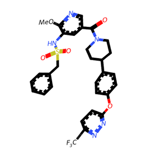 COc1ncc(C(=O)N2CCC(c3ccc(Oc4ccc(C(F)(F)F)nn4)cc3)CC2)cc1NS(=O)(=O)Cc1ccccc1